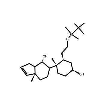 CC(C)(C)[Si](C)(C)OCC[C@H]1C[C@@H](O)CC[C@]1(C)C1CC[C@]2(C)C=CCC2[C@@H]1O